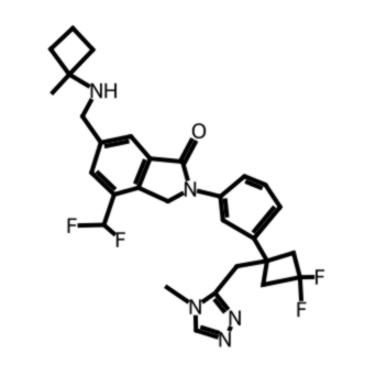 Cn1cnnc1CC1(c2cccc(N3Cc4c(cc(CNC5(C)CCC5)cc4C(F)F)C3=O)c2)CC(F)(F)C1